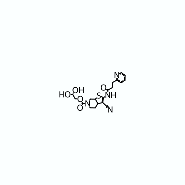 N#CC1=C(NC(=O)CCc2ccccn2)SC2CN(C(=O)OCC(O)O)CCC12